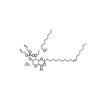 C=CCOP(=O)(OCC=C)O[C@H]1[C@H](OCC[C@H](CCCCCCC)OC)[C@@H](OC(=O)CCCCCCCCC/C=C\CCCCCC)[C@@H](O)O[C@@H]1COC